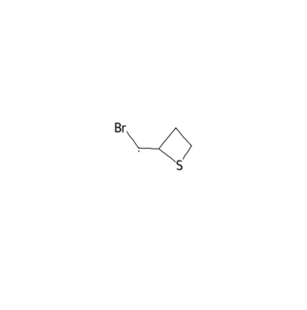 Br[CH]C1CCS1